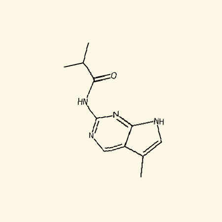 Cc1c[nH]c2nc(NC(=O)C(C)C)ncc12